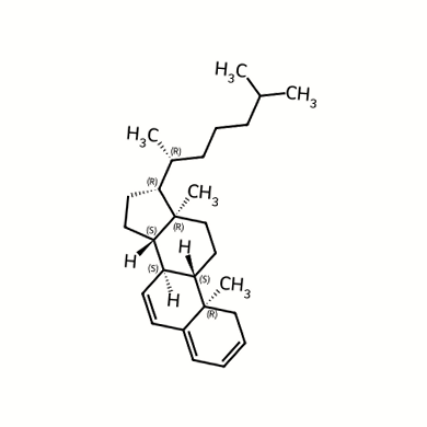 CC(C)CCC[C@@H](C)[C@H]1CC[C@H]2[C@@H]3C=CC4=CC=CC[C@]4(C)[C@H]3CC[C@]12C